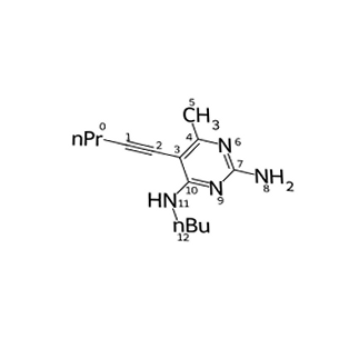 CCCC#Cc1c(C)nc(N)nc1NCCCC